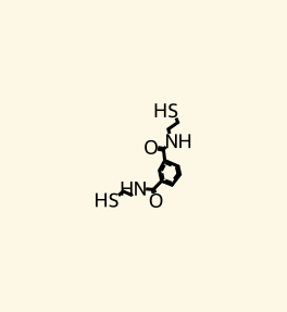 O=C(NCCS)c1cccc(C(=O)NCCS)c1